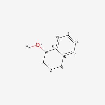 COC1CC[CH]c2ccccc21